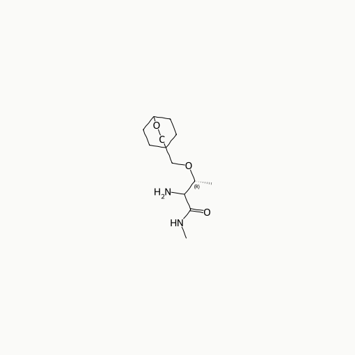 CNC(=O)C(N)[C@@H](C)OCC12CCC(CC1)OC2